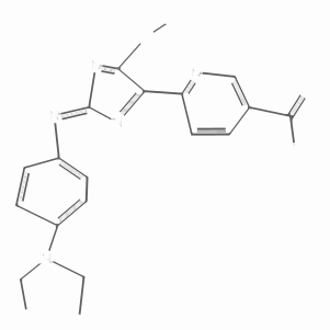 CCN(CC)c1ccc(N=C2N=C(CO)C(c3ccc(C(=O)O)cn3)=N2)cc1